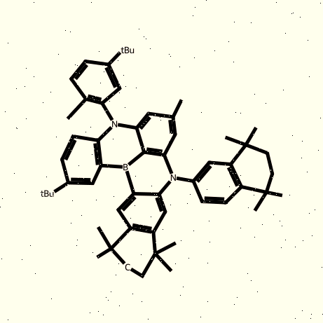 Cc1cc2c3c(c1)N(c1cc(C(C)(C)C)ccc1C)c1ccc(C(C)(C)C)cc1B3c1cc3c(cc1N2c1ccc2c(c1)C(C)(C)CCC2(C)C)C(C)(C)CCC3(C)C